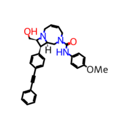 COc1ccc(NC(=O)N2C/C=C\CN3[C@H](CO)[C@H](c4ccc(C#Cc5ccccc5)cc4)[C@@H]3C2)cc1